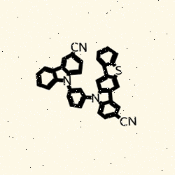 N#Cc1ccc2c(c1)c1ccccc1n2-c1cccc(-n2c3ccc(C#N)cc3c3cc4sc5ccccc5c4cc32)c1